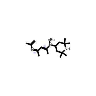 C=C(C)/N=C(C)\C=C(/C)N(CCCC)C1CC(C)(C)NC(C)(C)C1